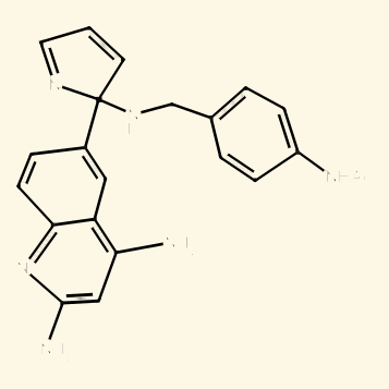 CC(=O)Nc1ccc(CNC2(c3ccc4nc(N)cc(N)c4c3)C=CC=N2)cc1